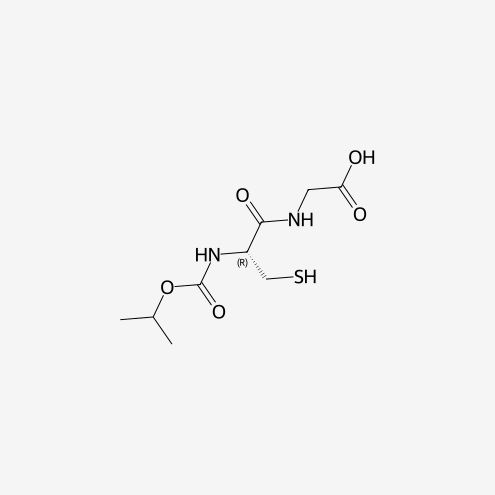 CC(C)OC(=O)N[C@@H](CS)C(=O)NCC(=O)O